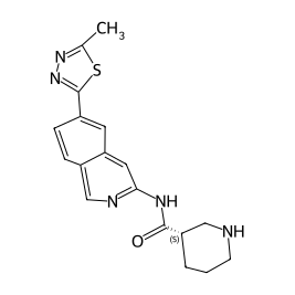 Cc1nnc(-c2ccc3cnc(NC(=O)[C@H]4CCCNC4)cc3c2)s1